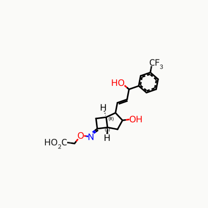 O=C(O)CON=C1C[C@H]2C(C=CC(O)c3cccc(C(F)(F)F)c3)C(O)C[C@H]12